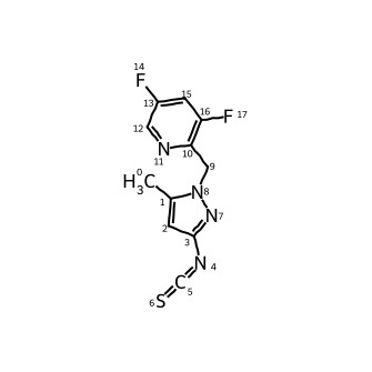 Cc1cc(N=C=S)nn1Cc1ncc(F)cc1F